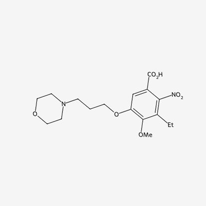 CCc1c(OC)c(OCCCN2CCOCC2)cc(C(=O)O)c1[N+](=O)[O-]